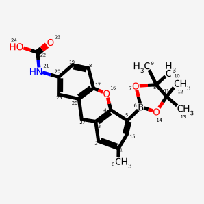 Cc1cc2c(c(B3OC(C)(C)C(C)(C)O3)c1)Oc1ccc(NC(=O)O)cc1C2